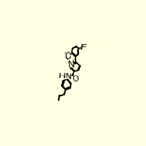 CCCc1ccc(NC(=O)c2ccc(-c3cc(F)ccc3OC)nc2)cc1